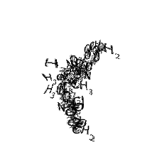 C=CC(=O)OCCCOC(=O)/C(C#N)=C(\N)c1ccc(N(C)c2cc(N(C)c3ccc(/C(Cl)=C(\C#N)C(=O)OCCCOC(=O)C=C)cc3)cc(N(C)c3ccc(/C(Cl)=C(\C#N)C(=O)OCCCOC(=O)C=C)cc3)c2)cc1